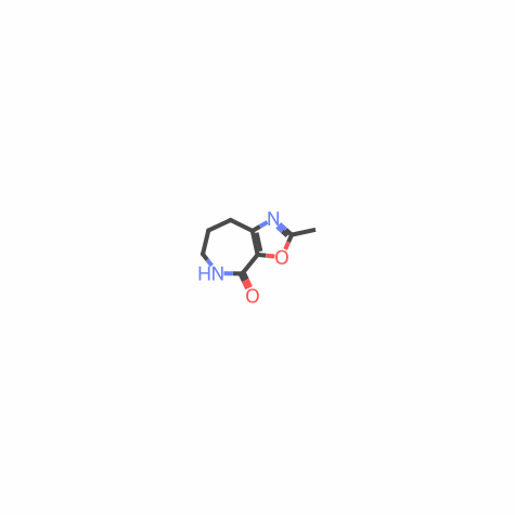 Cc1nc2c(o1)C(=O)NCCC2